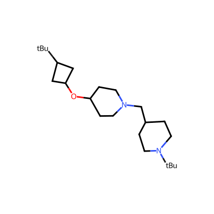 CC(C)(C)C1CC(OC2CCN(CC3CCN(C(C)(C)C)CC3)CC2)C1